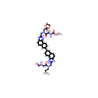 CCCN(Cc1nc2ccc3cc(-c4ccc5c(ccc6nc(CN(CC7(C)OCCO7)C(=O)CNC(=O)OC)[nH]c65)c4)ccc3c2[nH]1)C(=O)CNC=O